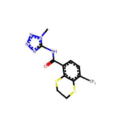 Cn1nnnc1NC(=O)c1ccc(C(F)(F)F)c2c1SCCS2